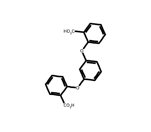 O=C(O)c1ccccc1Oc1cccc(Oc2ccccc2C(=O)O)c1